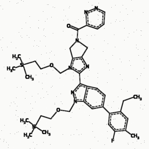 CCc1cc(C)c(F)cc1-c1ccc2c(-c3nc4c(n3COCC[Si](C)(C)C)CN(C(=O)c3cccnn3)C4)nn(COCC[Si](C)(C)C)c2c1